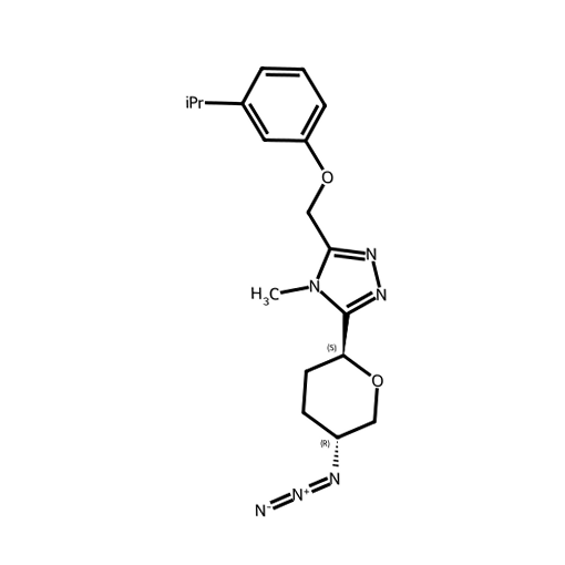 CC(C)c1cccc(OCc2nnc([C@@H]3CC[C@@H](N=[N+]=[N-])CO3)n2C)c1